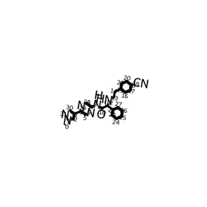 Cn1cc(-c2cnc(NC(=O)C(NCCc3ccc(C#N)cc3)c3ccccc3)cn2)cn1